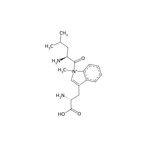 CC(C)C[C@H](N)C(=O)[N+]1(C)C=C(C[C@@H](N)C(=O)O)c2ccccc21